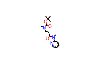 CN(CCC(=O)N(C)c1ccccn1)C(=O)OC(C)(C)C